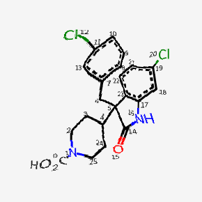 O=C(O)N1CCC(C2(Cc3cccc(Cl)c3)C(=O)Nc3cc(Cl)ccc32)CC1